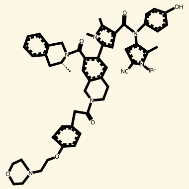 Cc1c(C(=O)N(c2ccc(O)cc2)c2cc(C#N)n(C(C)C)c2C)cc(-c2cc3c(cc2C(=O)N2Cc4ccccc4C[C@H]2C)CN(C(=O)Cc2ccc(OCCN4CCOCC4)cc2)CC3)n1C